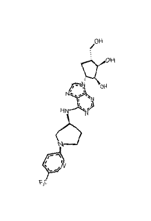 OC[C@H]1C[C@@H](n2cnc3c(N[C@H]4CCN(c5ccc(C(F)(F)F)cn5)C4)ncnc32)[C@H](O)[C@@H]1O